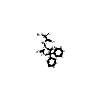 C[C@H](N)C(=O)NN1C(=O)NC(c2ccccc2)(c2ccccc2)C1=O